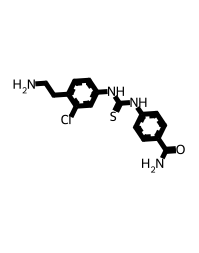 NCCc1ccc(NC(=S)Nc2ccc(C(N)=O)cc2)cc1Cl